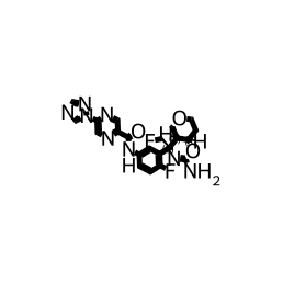 NC1=N[C@](CF)(c2cc(NC(=O)c3cnc(-n4cncn4)cn3)ccc2F)[C@H]2COCC[C@H]2O1